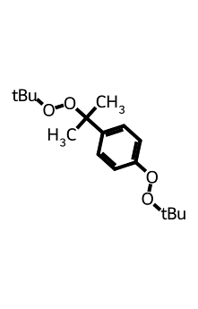 CC(C)(C)OOc1ccc(C(C)(C)OOC(C)(C)C)cc1